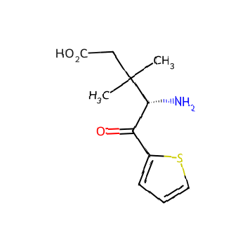 CC(C)(CC(=O)O)[C@H](N)C(=O)c1cccs1